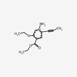 CC#Cc1cc(C(=O)OCC)c(OCC)c[n+]1N